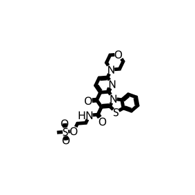 CS(=O)(=O)OCCNC(=O)c1c(=O)c2ccc(N3CCOCC3)nc2n2c1sc1ccccc12